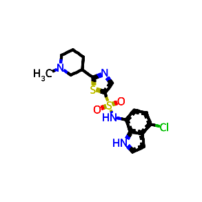 CN1CCCC(c2ncc(S(=O)(=O)Nc3ccc(Cl)c4cc[nH]c34)s2)C1